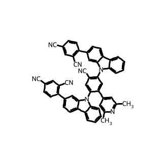 Cc1cc(-c2cc(-n3c4ccccc4c4ccc(-c5ccc(C#N)cc5C#N)cc43)c(C#N)cc2-n2c3ccccc3c3ccc(-c4ccc(C#N)cc4C#N)cc32)cc(C)n1